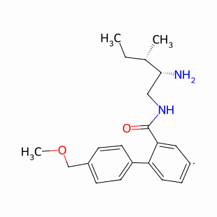 CC[C@H](C)[C@H](N)CNC(=O)c1c[c]ccc1-c1ccc(COC)cc1